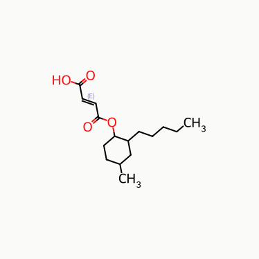 CCCCCC1CC(C)CCC1OC(=O)/C=C/C(=O)O